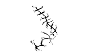 C=C(C)C(=O)OC(F)(N(CCCC)S(=O)(=O)C(F)(F)C(F)(F)C(F)(F)C(F)(F)C(F)(F)C(F)(F)C(F)(F)C(F)(F)F)C(F)(F)F